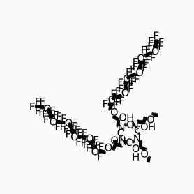 CCOCC(O)CN1CCN(CC(O)COCC)CCN(CC(O)COCC(F)(F)OC(F)(F)C(F)(F)OC(F)(F)C(F)(F)OC(F)(F)C(F)(F)OC(F)(F)C(F)(F)OC(F)(F)C(F)(F)OC(F)(F)C(F)(F)F)CCN(CC(O)COCC(F)(F)OC(F)(F)C(F)(F)OC(F)(F)C(F)(F)OC(F)(F)C(F)(F)OC(F)(F)C(F)(F)OC(F)(F)C(F)(F)OC(F)(F)C(F)(F)F)CC1